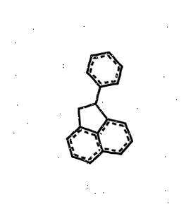 [c]1ccccc1C1Cc2cccc3cccc1c23